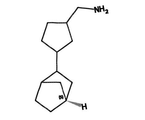 NCC1CCC(C2C[C@H]3CCC2C3)C1